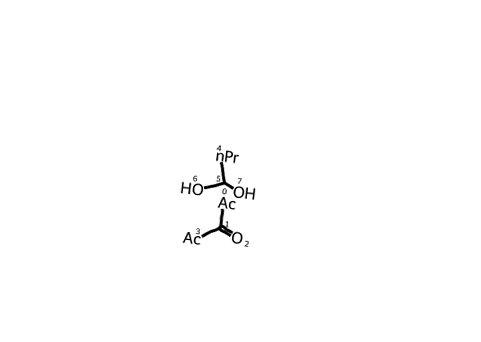 CC(=O)C(=O)C(C)=O.CCCC(O)O